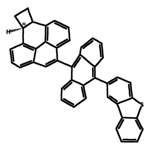 c1cc2c3c(c1)cc(-c1c4ccccc4c(-c4ccc5sc6ccccc6c5c4)c4ccccc14)c1cccc(c13)C1CC[C@H]21